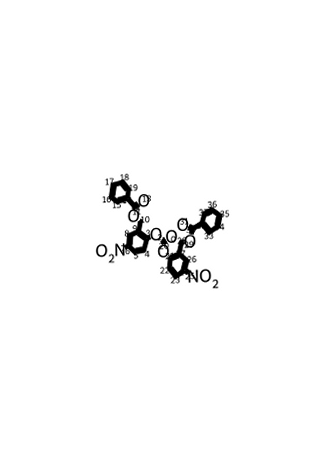 O=C(Oc1ccc([N+](=O)[O-])cc1COC(=O)c1ccccc1)Oc1ccc([N+](=O)[O-])cc1COC(=O)c1ccccc1